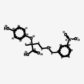 CC(CCOCc1cccc([N+](=O)[O-])c1)(Oc1ccc(O)cc1)C(=O)O